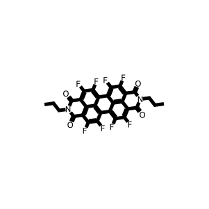 CCCN1C(=O)c2c(F)c(F)c3c4c(F)c(F)c5c6c(c(F)c(F)c(c7c(F)c(F)c(c2c37)C1=O)c64)C(=O)N(CCC)C5=O